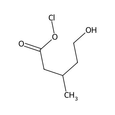 CC(CCO)CC(=O)OCl